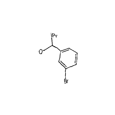 CC(C)C([O])c1cccc(Br)c1